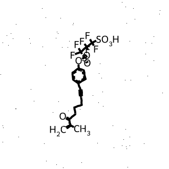 C=C(C)C(=O)CCCC#Cc1ccc(OS(=O)(=O)C(F)(F)C(F)(F)C(F)(F)S(=O)(=O)O)cc1